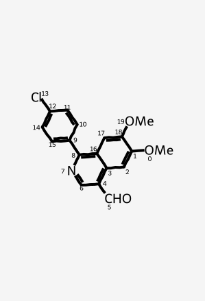 COc1cc2c(C=O)cnc(-c3ccc(Cl)cc3)c2cc1OC